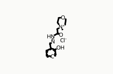 C[N+]1(CC(=O)NN=Cc2ccccc2O)CCOCC1.[Cl-]